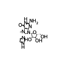 CN1CN([C@@H]2O[C@H](CO)[C@@H](O)[C@H]2O)c2nc(N)[nH]c(=O)c21.c1c[nH]cn1